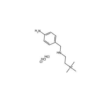 C[N+](C)(C)CCNCc1ccc(N)cc1.Cl.Cl.[Cl-]